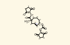 C[C@]1(C(=O)ON2C(=O)CCC2=O)C/C=C/[C@@H](OC(=O)ON2C(=O)CCC2=O)CCC1